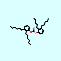 CCCCCCc1cccc(OC(=O)Oc2cccc(CCCCC)c2CCCCC)c1CCCCCC